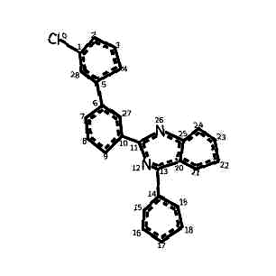 Clc1cccc(-c2cccc(-c3nc(-c4ccccc4)c4ccccc4n3)c2)c1